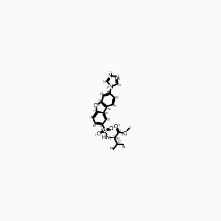 COC(=O)[C@H](NS(=O)(=O)c1ccc2oc3cc(-n4cnnc4)ccc3c2c1)C(C)C